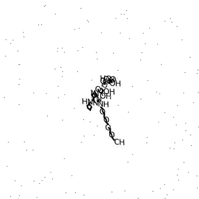 C#CCOCCOCCOCCOCCNc1nc(NC2CCCC2)c2cnn([C@@H]3O[C@H](COP(=O)(O)CP(=O)(O)O)[C@@H](O)[C@H]3O)c2n1